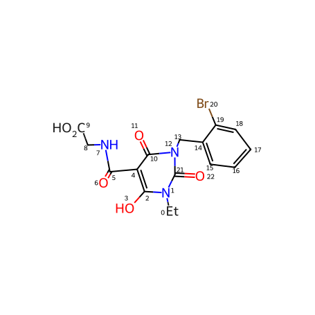 CCn1c(O)c(C(=O)NCC(=O)O)c(=O)n(Cc2ccccc2Br)c1=O